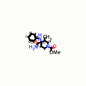 COC(=O)N1CCC(Nc2ccccc2)(C(N)=O)C(C)C1